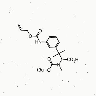 C=CCOC(=O)Nc1cccc(C(C)(C)[C@@H](C(=O)O)N(C)C(=O)OC(C)(C)C)c1